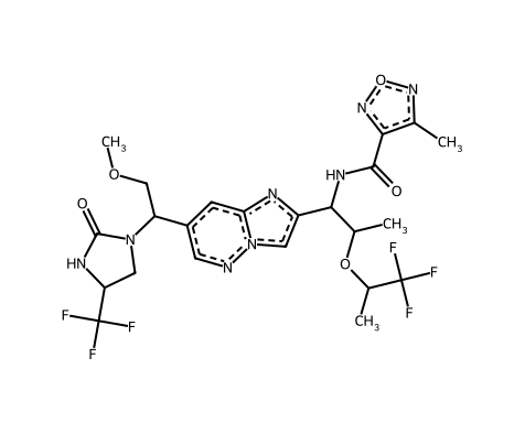 COCC(c1cnn2cc(C(NC(=O)c3nonc3C)C(C)OC(C)C(F)(F)F)nc2c1)N1CC(C(F)(F)F)NC1=O